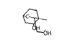 CC12CCC(CC1O)CC2CO